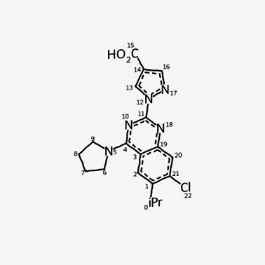 CC(C)c1cc2c(N3CCCC3)nc(-n3cc(C(=O)O)cn3)nc2cc1Cl